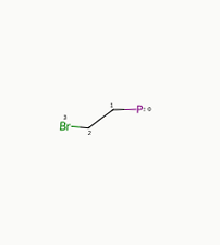 [P]CCBr